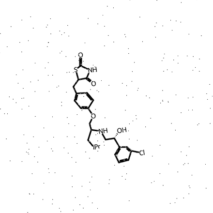 CC(C)CC(COc1ccc(CC2SC(=O)NC2=O)cc1)NC[C@H](O)c1cccc(Cl)c1